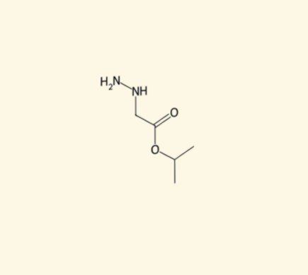 CC(C)OC(=O)CNN